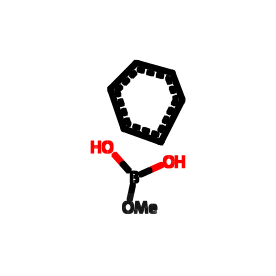 COB(O)O.c1ccccc1